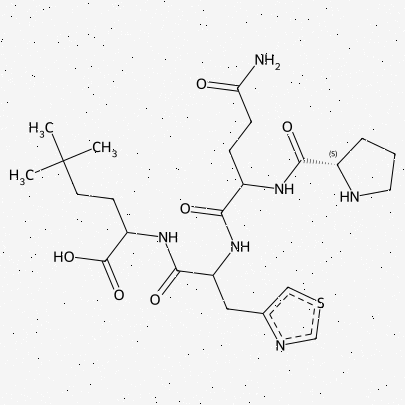 CC(C)(C)CCC(NC(=O)C(Cc1cscn1)NC(=O)C(CCC(N)=O)NC(=O)[C@@H]1CCCN1)C(=O)O